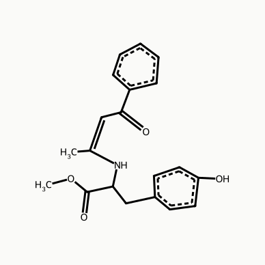 COC(=O)C(Cc1ccc(O)cc1)N/C(C)=C\C(=O)c1ccccc1